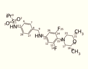 CC(C)S(=O)(=O)Nc1ccc(CNc2cc(F)c(N3C[C@@H](C)O[C@@H](C)C3)c(F)c2)cc1